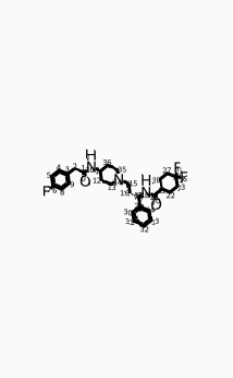 O=C(Cc1ccc(F)cc1)NC1CCN(CC[C@H](NC(=O)C2CCC(F)(F)CC2)c2ccccc2)CC1